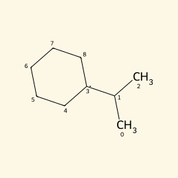 CC(C)[C]1CCCCC1